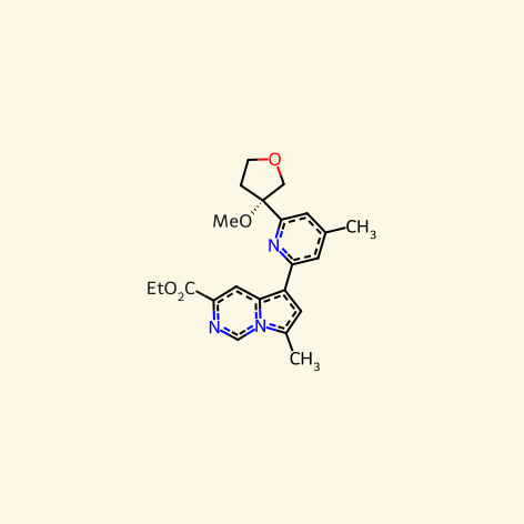 CCOC(=O)c1cc2c(-c3cc(C)cc([C@@]4(OC)CCOC4)n3)cc(C)n2cn1